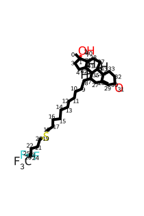 CC1(O)CC[C@H]2[C@@H]3C(CCCCCCCCCCCSCCCC(F)(F)C(F)(F)F)CC4=CC(=O)CC[C@]4(C)[C@@H]3CC[C@@]21C